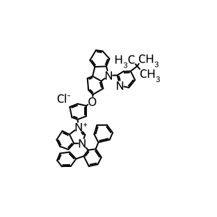 CC(C)(C)c1ccnc(-n2c3ccccc3c3ccc(Oc4cccc(-[n+]5cn(-c6c(-c7ccccc7)cccc6-c6ccccc6)c6ccccc65)c4)cc32)c1.[Cl-]